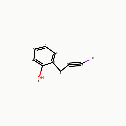 Oc1ccccc1CC#CI